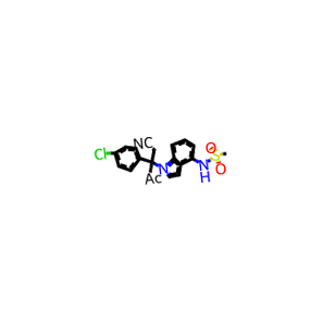 CC(=O)C(CC#N)(c1ccc(Cl)cc1)n1ccc2c(NS(C)(=O)=O)cccc21